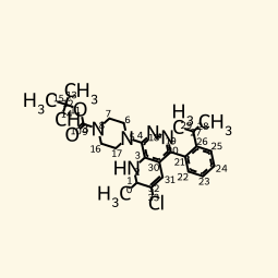 CC1Nc2c(N3CCN(C(=O)OC(C)(C)C)CC3)nnc(-c3ccccc3C(C)C)c2C=C1Cl